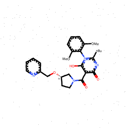 CCCCc1nc(=O)c(C(=O)N2CC[C@H](OCc3ccccn3)C2)c(O)n1-c1c(OC)cccc1OC